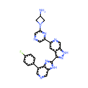 NC1CN(c2cncc(-c3cc4c(-c5nc6c(-c7ccc(F)cc7)cncc6[nH]5)n[nH]c4cn3)n2)C1